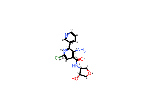 Nc1c(C(=O)N[C@H]2COC[C@H]2O)cc(Cl)nc1-c1cccnc1